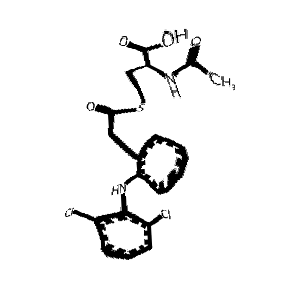 CC(=O)N[C@@H](CSC(=O)Cc1ccccc1Nc1c(Cl)cccc1Cl)C(=O)O